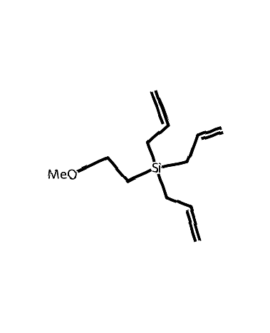 C=CC[Si](CC=C)(CC=C)CCOC